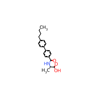 CCCCc1ccc(-c2ccc(C(=O)N[C@H](C)C(=O)O)cc2)cc1